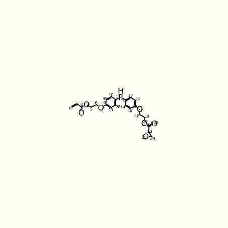 C=CC(=O)OCCOc1ccc(Pc2ccc(OCCOC(=O)C3CO3)cc2)cc1